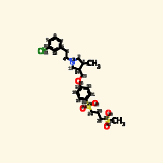 CC1CN(CCc2cccc(Cl)c2)CC1COc1ccc(S(=O)(=O)CCCS(C)(=O)=O)cc1